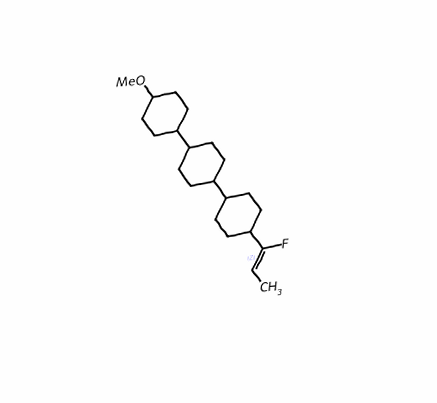 C/C=C(\F)C1CCC(C2CCC(C3CCC(OC)CC3)CC2)CC1